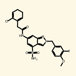 COc1ccc(Cn2cc3c(S(N)(=O)=O)cc(NC(=O)CC4=CCCC=C4Cl)cc3n2)cc1F